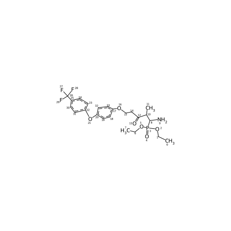 CCOP(=O)(OCC)C(N)C(C)C(=O)CCOc1ccc(Oc2ccc(C(F)(F)F)cc2)cc1